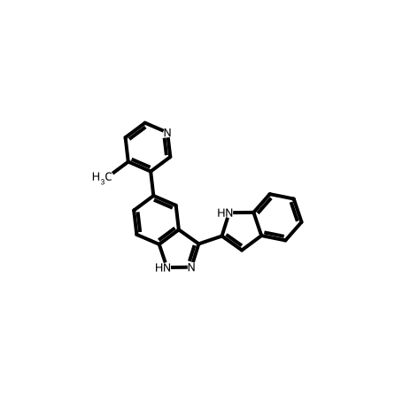 Cc1ccncc1-c1ccc2[nH]nc(-c3cc4ccccc4[nH]3)c2c1